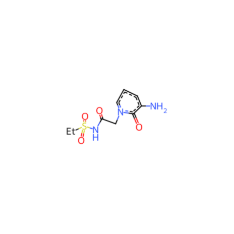 CCS(=O)(=O)NC(=O)Cn1cccc(N)c1=O